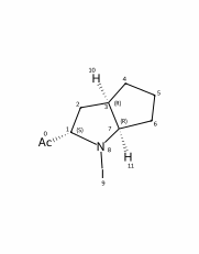 CC(=O)[C@@H]1C[C@H]2CCC[C@H]2N1I